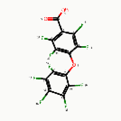 O=C(O)c1c(F)c(F)c(Oc2c(F)c(F)c(F)c(F)c2F)c(F)c1F